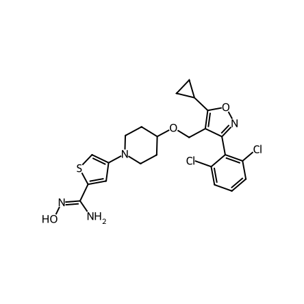 N/C(=N\O)c1cc(N2CCC(OCc3c(-c4c(Cl)cccc4Cl)noc3C3CC3)CC2)cs1